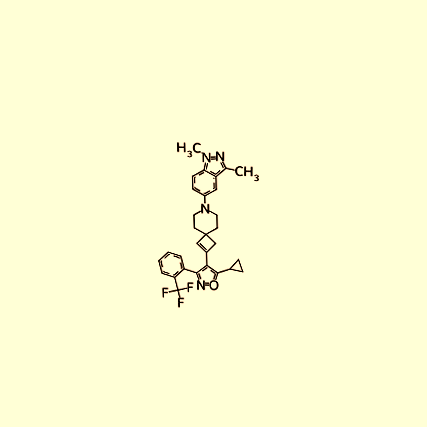 Cc1nn(C)c2ccc(N3CCC4(C=C(c5c(-c6ccccc6C(F)(F)F)noc5C5CC5)C4)CC3)cc12